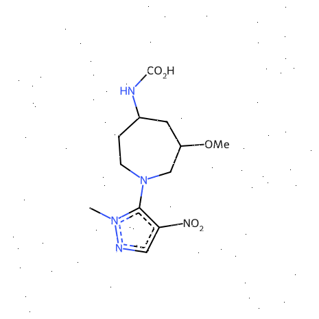 COC1CC(NC(=O)O)CCN(c2c([N+](=O)[O-])cnn2C)C1